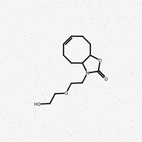 O=C1OC2CCC=CCCC2N1CCOCCO